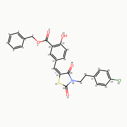 O=C(OCc1ccccc1)c1cc(/C=C2/SC(=O)N(CCc3ccc(Cl)cc3)C2=O)ccc1O